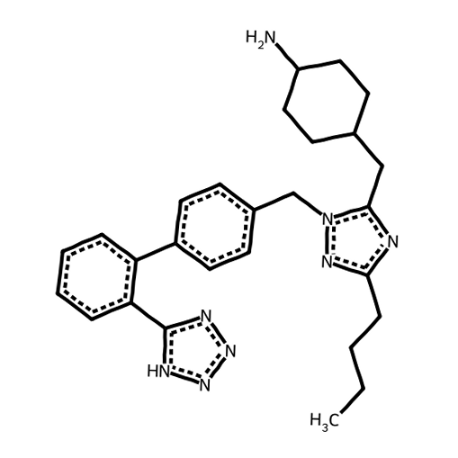 CCCCc1nc(CC2CCC(N)CC2)n(Cc2ccc(-c3ccccc3-c3nnn[nH]3)cc2)n1